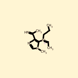 C/C=[N+](/CCC)c1c(C(C)=N)ncn1C